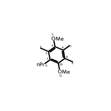 [CH2]CCc1c(C)c(OC)c(C)c(C)c1OC